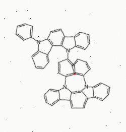 c1ccc(-n2c3ccccc3c3c2ccc2c4ccccc4n(-c4ccc(-n5c6ccccc6c6ccc7c8ccccc8n(-c8ccccc8)c7c65)cc4)c23)cc1